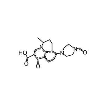 CC1CCc2c(N3CCN(C=O)CC3)ccc3c(=O)c(C(=O)O)cn1c23